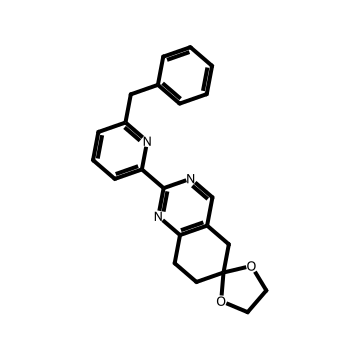 c1ccc(Cc2cccc(-c3ncc4c(n3)CCC3(C4)OCCO3)n2)cc1